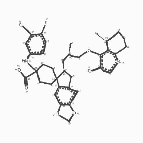 C[C@@H](COc1c(Cl)cnc2c1[C@H](C)CCC2)C[C@H]1Cc2cc3c(cc2C12CCC(Nc1ccc(F)c(Cl)c1)(C(=O)O)CC2)OCO3